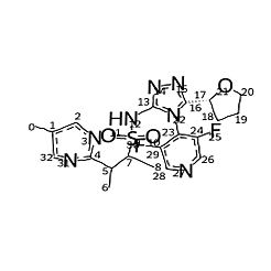 Cc1cnc(C(C)C(C)S(=O)(=O)Nc2nnc([C@H]3CCCO3)n2-c2c(F)cncc2F)nc1